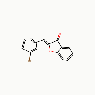 O=C1/C(=C/c2cccc(Br)c2)Oc2ccccc21